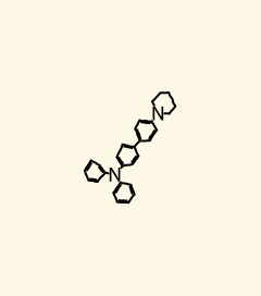 c1ccc(N(c2ccccc2)c2ccc(-c3ccc(N4CCCCC4)cc3)cc2)cc1